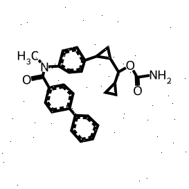 CN(C(=O)c1ccc(-c2ccccc2)cc1)c1ccc(C2CC2C(OC(N)=O)C2CC2)cc1